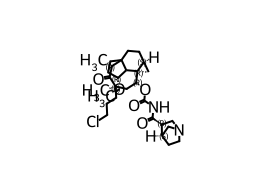 CO[C@@H]1CCC23CC[C@H]4C[C@@]4(C12)[C@H](OC(=O)NC(=O)[C@H]1CN2CC[C@@H]1C2)C[C@@](C)(CCCCl)C(=O)[C@@H]3C